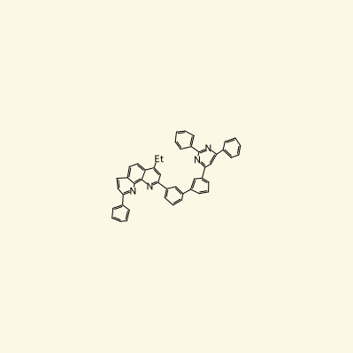 CCc1cc(-c2cccc(-c3cccc(-c4cc(-c5ccccc5)nc(-c5ccccc5)n4)c3)c2)nc2c1ccc1ccc(-c3ccccc3)nc12